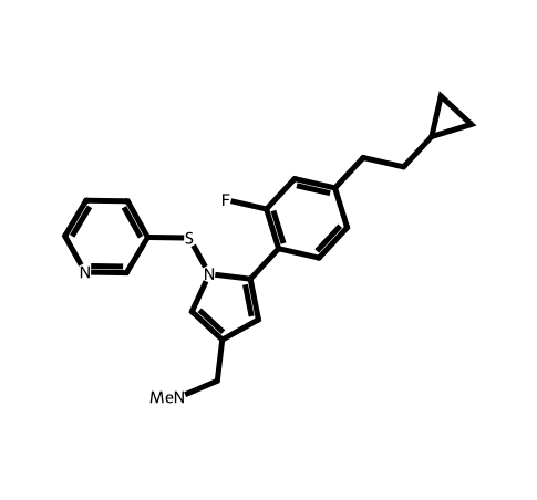 CNCc1cc(-c2ccc(CCC3CC3)cc2F)n(Sc2cccnc2)c1